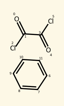 O=C(Cl)C(=O)Cl.c1ccccc1